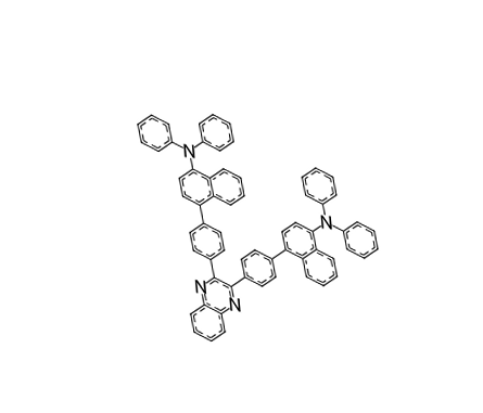 c1ccc(N(c2ccccc2)c2ccc(-c3ccc(-c4nc5ccccc5nc4-c4ccc(-c5ccc(N(c6ccccc6)c6ccccc6)c6ccccc56)cc4)cc3)c3ccccc23)cc1